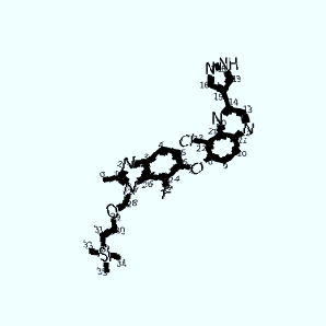 Cc1nc2ccc(Oc3ccc4ncc(-c5cn[nH]c5)nc4c3Cl)c(F)c2n1COCC[Si](C)(C)C